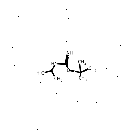 CC(C)NC(=N)OC(C)(C)C